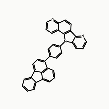 c1ccc2c(c1)-c1cccc3c(-c4ccc(-n5c6cccnc6c6ccc7ncccc7c65)cc4)ccc-2c13